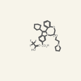 O=C(O)C(F)(F)F.O=C(O)c1ccc2c(C3CCCCC3)c3n(c2c1)C[C@H](OCCN1CCCC1)COc1ccccc1-3